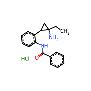 CCC1(N)CC1c1ccccc1NC(=O)c1ccccc1.Cl